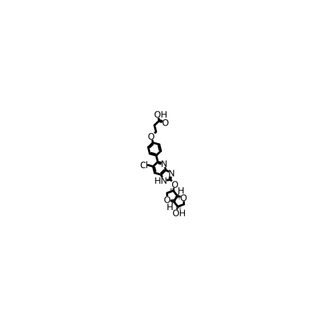 O=C(O)CCOc1ccc(-c2nc3nc(O[C@@H]4CO[C@H]5[C@@H]4OC[C@H]5O)[nH]c3cc2Cl)cc1